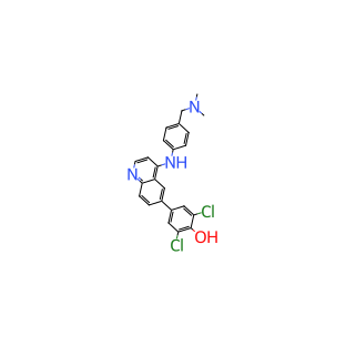 CN(C)Cc1ccc(Nc2ccnc3ccc(-c4cc(Cl)c(O)c(Cl)c4)cc23)cc1